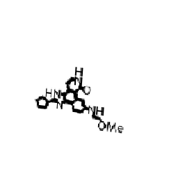 COCCNc1ccc2c(c1)c1c(=O)[nH]ccc1c1[nH]c(C3CCCC3)nc21